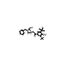 CC(C)(C)c1cc(C(=O)CN2CCN(Cc3ccccc3)/C2=N/Cl)cc(C(C)(C)C)c1O